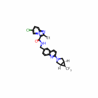 CCc1nc2ccc(Cl)cn2c1C(=O)NCc1ccc2nc(N3C[C@@H]4[C@H](C3)[C@@H]4C(F)(F)F)ccc2c1